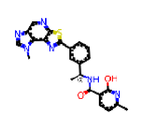 Cc1ccc(C(=O)N[C@@H](C)c2cccc(-c3nc4c(ncc5ncn(C)c54)s3)c2)c(O)n1